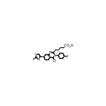 Cc1nc(-c2ccc3c(=O)n(-c4ccc(F)cc4)c(CCCCC(=O)O)nc3c2)cs1